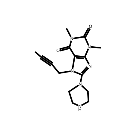 CC#CCn1c(N2CCNCC2)nc2c1c(=O)n(C)c(=O)n2C